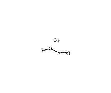 CCCOF.[Cu]